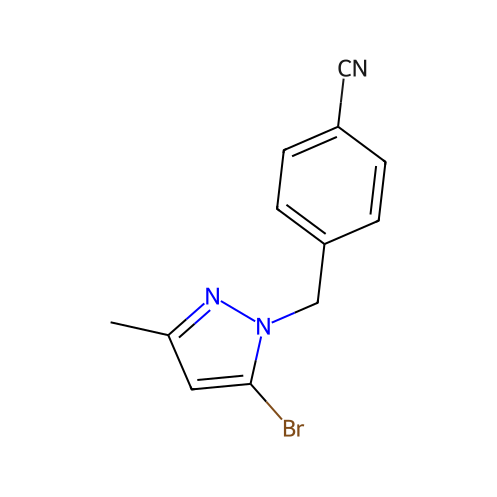 Cc1cc(Br)n(Cc2ccc(C#N)cc2)n1